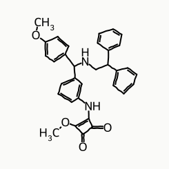 COc1ccc(C(NCC(c2ccccc2)c2ccccc2)c2cccc(Nc3c(OC)c(=O)c3=O)c2)cc1